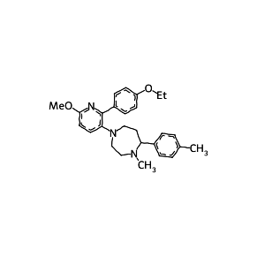 CCOc1ccc(-c2nc(OC)ccc2N2CCC(c3ccc(C)cc3)N(C)CC2)cc1